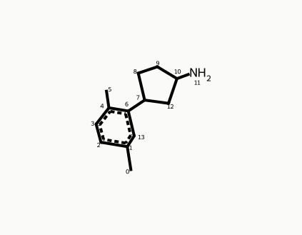 Cc1ccc(C)c(C2CCC(N)C2)c1